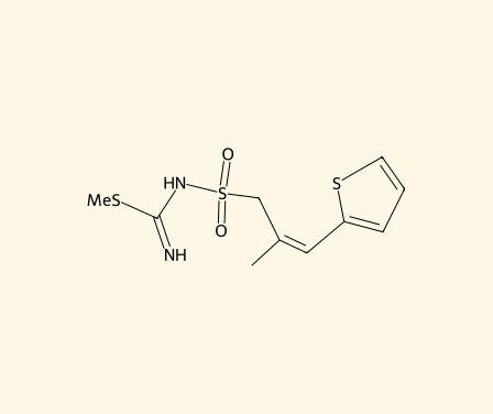 CSC(=N)NS(=O)(=O)CC(C)=Cc1cccs1